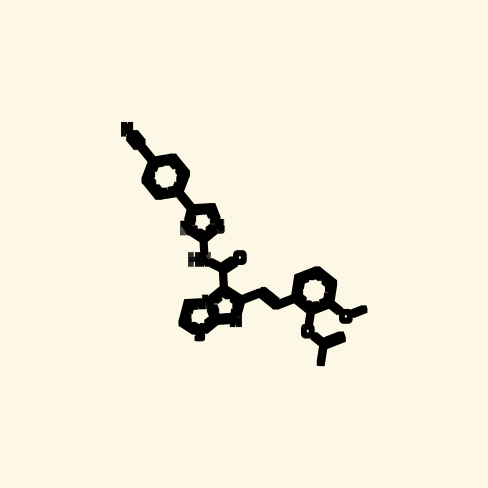 C=C(C)Oc1c(/C=C/c2nc3sccn3c2C(=O)Nc2nc(-c3ccc(C#N)cc3)cs2)cccc1OC